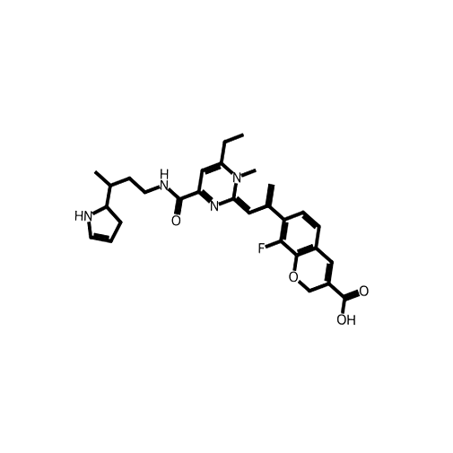 C=C(/C=C1/N=C(C(=O)NCCC(C)C2CC=CN2)C=C(CC)N1C)c1ccc2c(c1F)OCC(C(=O)O)=C2